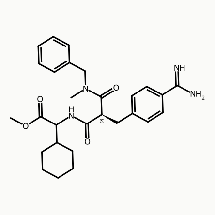 COC(=O)C(NC(=O)[C@H](Cc1ccc(C(=N)N)cc1)C(=O)N(C)Cc1ccccc1)C1CCCCC1